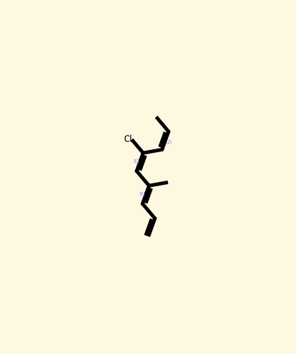 C=C/C=C(C)/C=C(Cl)\C=C/C